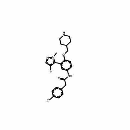 Cn1ncc(Br)c1-c1cc(NC(=O)Cc2ccc(Cl)cc2)ccc1OCC1CCNCC1